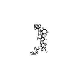 CC(C)(C)OC(=O)CC[C@@H](C(N)=O)N1Cc2c(ccc(C[C@H]3CCCC[C@@H]3NC(=O)OC(C)(C)C)c2F)C1=O